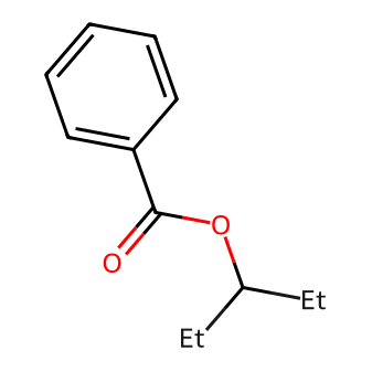 CCC(CC)OC(=O)c1ccccc1